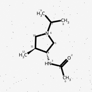 CC(=O)N[C@H]1CN(C(C)C)C[C@@H]1C